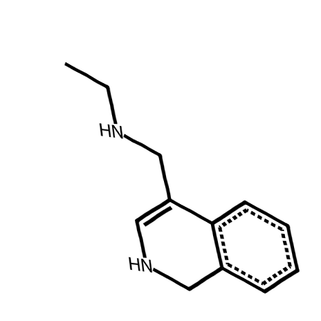 CCNCC1=CNCc2ccccc21